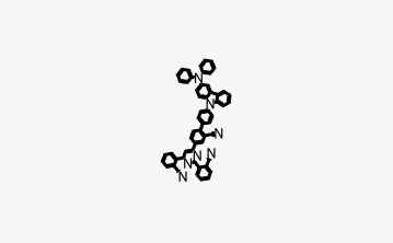 N#Cc1cc(-c2cc(-c3ccccc3C#N)nc(-c3ccccc3C#N)n2)ccc1-c1ccc(-n2c3ccccc3c3cc(N(c4ccccc4)c4ccccc4)ccc32)cc1